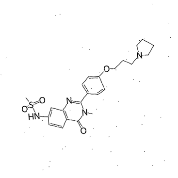 Cn1c(-c2ccc(OCCCN3CCCC3)cc2)nc2cc(NS(C)(=O)=O)ccc2c1=O